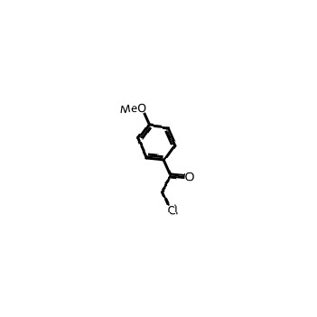 COc1ccc(C(=O)CCl)cc1